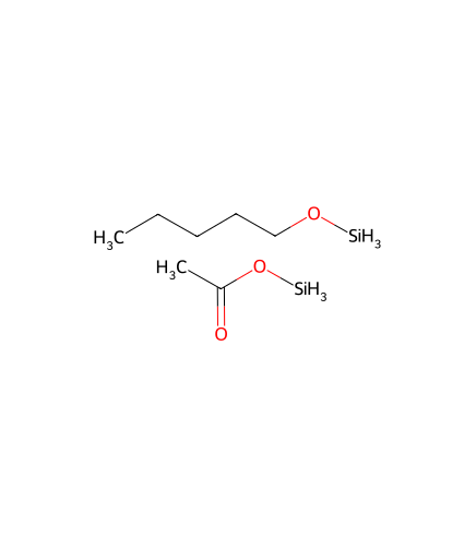 CC(=O)O[SiH3].CCCCCO[SiH3]